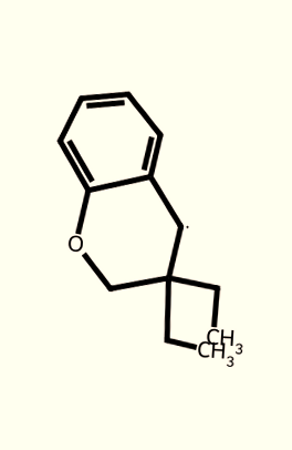 CCC1(CC)[CH]c2ccccc2OC1